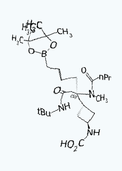 CCCC(=O)N(C)[C@](CCCCB1OC(C)(C)C(C)(C)O1)(C(=O)NC(C)(C)C)[C@H]1C[C@H](NC(=O)O)C1